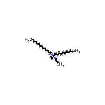 CCCCCCCCCCCCCCN1C=CN(CCCC)C1CCCCCCCCCCC